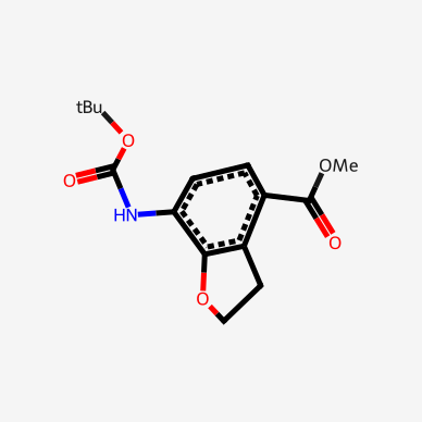 COC(=O)c1ccc(NC(=O)OC(C)(C)C)c2c1CCO2